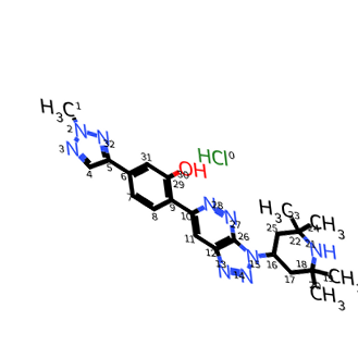 Cl.Cn1ncc(-c2ccc(-c3cc4nnn(C5CC(C)(C)NC(C)(C)C5)c4nn3)c(O)c2)n1